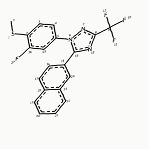 CSc1ccc(-n2nc(C(F)(F)F)nc2-c2ccc3ccccc3c2)cc1F